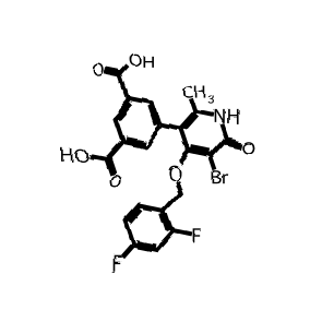 Cc1[nH]c(=O)c(Br)c(OCc2ccc(F)cc2F)c1-c1cc(C(=O)O)cc(C(=O)O)c1